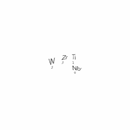 [Nb].[Ti].[W].[Zr]